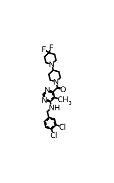 Cc1c(NCc2ccc(Cl)c(Cl)c2)ncnc1C(=O)N1CCC(N2CCC(F)(F)CC2)CC1